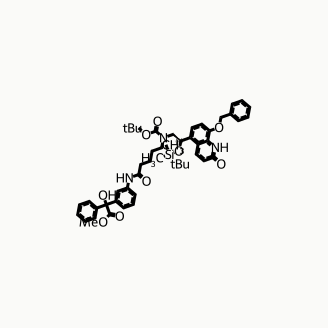 COC(=O)C(O)(c1ccccc1)c1cccc(NC(=O)CCCCN(C[C@H](O[Si](C)(C)C(C)(C)C)c2ccc(OCc3ccccc3)c3[nH]c(=O)ccc23)C(=O)OC(C)(C)C)c1